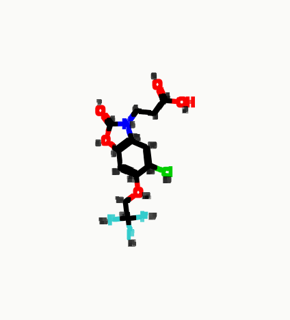 O=C(O)CCn1c(=O)oc2cc(OCC(F)(F)F)c(Cl)cc21